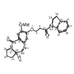 COc1cc2c(cc1OCCC(=O)N1CCc3ccccc31)N=C[C@@H]1CCCN1C2=O